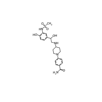 CS(=O)(=O)Nc1cc(C(O)CNC2CCN(c3ccc(C(N)=O)cc3)CC2)ccc1O